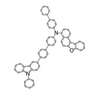 c1ccc(-c2ccc(N(c3ccc(-c4ccc(-c5ccc6c(c5)c5ccccc5n6-c5ccccc5)cc4)cc3)c3cccc4c3ccc3oc5ccccc5c34)cc2)cc1